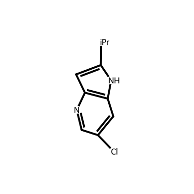 CC(C)c1cc2ncc(Cl)cc2[nH]1